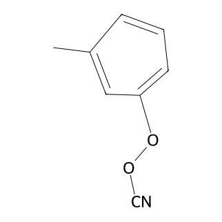 Cc1cccc(OOC#N)c1